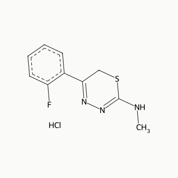 CNC1=NN=C(c2ccccc2F)CS1.Cl